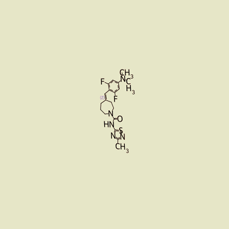 Cc1nsc(NC(=O)N2CCC/C(=C/c3c(F)cc(N(C)C)cc3F)CC2)n1